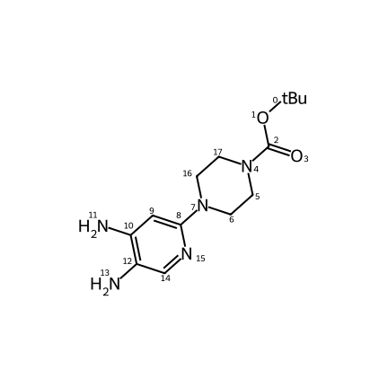 CC(C)(C)OC(=O)N1CCN(c2cc(N)c(N)cn2)CC1